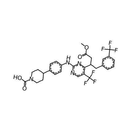 COC(=O)CC(Cc1cccc(C(F)(F)F)c1)c1nc(Nc2ccc(C3CCN(C(=O)O)CC3)cc2)ncc1C(F)(F)F